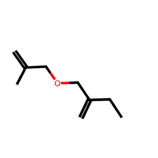 C=C(C)COCC(=C)CC